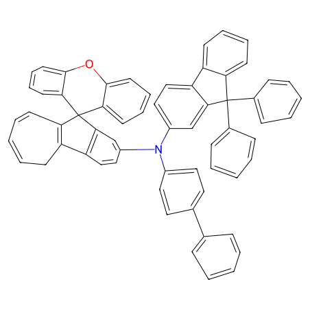 C1=CCC2=C(C=C1)C1(c3ccccc3Oc3ccccc31)c1cc(N(c3ccc(-c4ccccc4)cc3)c3ccc4c(c3)C(c3ccccc3)(c3ccccc3)c3ccccc3-4)ccc12